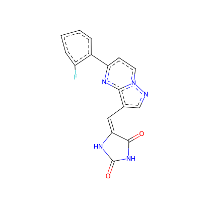 O=C1NC(=O)/C(=C\c2cnn3ccc(-c4ccccc4F)nc23)N1